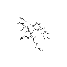 CCCCOc1nc(N)c2cc(C(=O)OC)n(Cc3ccc(CN4CCCC4)cc3)c2n1